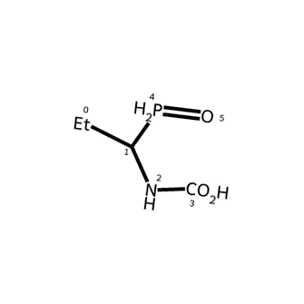 CCC(NC(=O)O)[PH2]=O